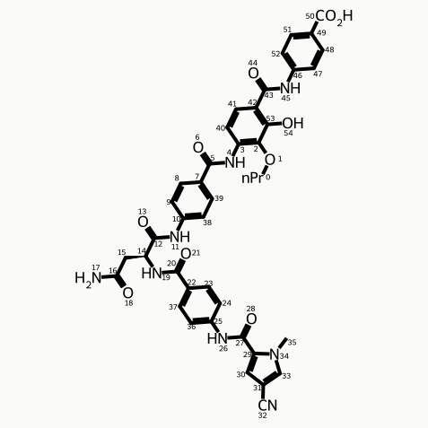 CCCOc1c(NC(=O)c2ccc(NC(=O)[C@H](CC(N)=O)NC(=O)c3ccc(NC(=O)c4cc(C#N)cn4C)cc3)cc2)ccc(C(=O)Nc2ccc(C(=O)O)cc2)c1O